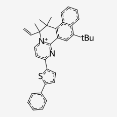 C=CC1(C)[n+]2ccc(-c3ccc(-c4ccccc4)s3)nc2-c2cc(C(C)(C)C)c3ccccc3c2C1(C)C